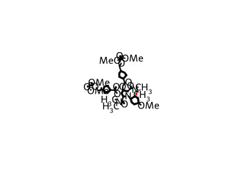 COc1ccc(-n2c(C(=O)N(C)C)c(OC(=O)c3ccc(COP(=O)(OC)OC)cc3)c(OC(=O)c3ccc(COP(=O)(OC)OC)cc3)c2C(=O)N(C)C)cc1